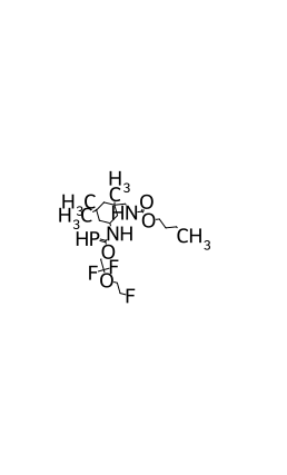 CCCCOC(=O)NCC1(C)CC(NC(=P)OCC(F)(F)OCCF)CC(C)(C)C1